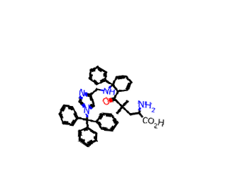 CC(C)(CC(N)C(=O)O)C(=O)C1C=CC=CC1(NCc1cn(C(c2ccccc2)(c2ccccc2)c2ccccc2)cn1)c1ccccc1